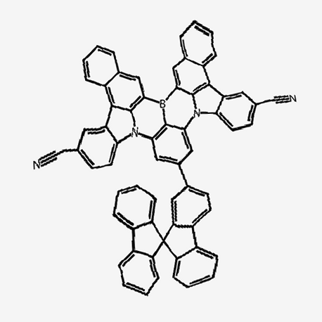 N#Cc1ccc2c(c1)c1c3ccccc3cc3c1n2-c1cc(-c2ccc4c(c2)C2(c5ccccc5-c5ccccc52)c2ccccc2-4)cc2c1B3c1cc3ccccc3c3c4cc(C#N)ccc4n-2c13